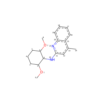 COC1C[CH]CC(OC)C1Nc1cc(C)c2ccccc2n1